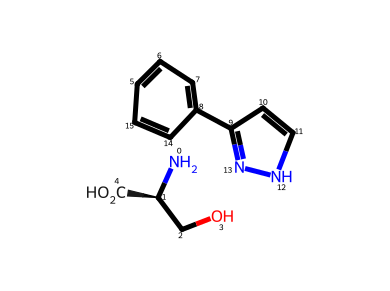 N[C@@H](CO)C(=O)O.c1ccc(-c2cc[nH]n2)cc1